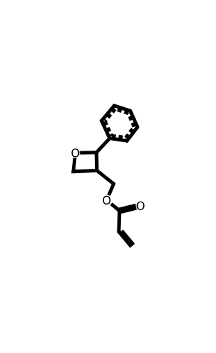 C=CC(=O)OCC1COC1c1ccccc1